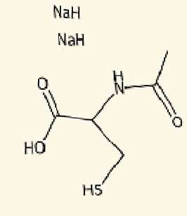 CC(=O)NC(CS)C(=O)O.[NaH].[NaH]